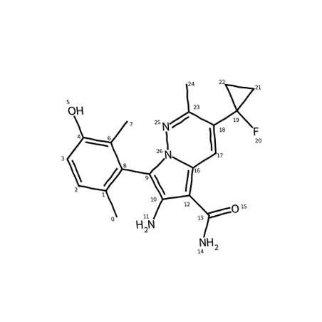 Cc1ccc(O)c(C)c1-c1c(N)c(C(N)=O)c2cc(C3(F)CC3)c(C)nn12